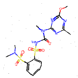 COc1nc(C)nc(N(C)C(=O)NS(=O)(=O)c2ccccc2S(=O)(=O)N(C)C)n1